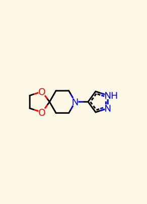 c1n[nH]cc1N1CCC2(CC1)OCCO2